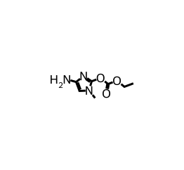 CCOC(=O)Oc1nc(N)cn1C